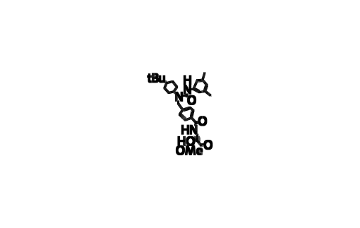 COC(=O)[C@H](O)CNC(=O)c1ccc(CN(C(=O)Nc2cc(C)cc(C)c2)C2CCC(C(C)(C)C)CC2)cc1